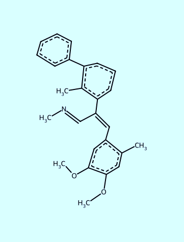 C/N=C/C(=C\c1cc(OC)c(OC)cc1C)c1cccc(-c2ccccc2)c1C